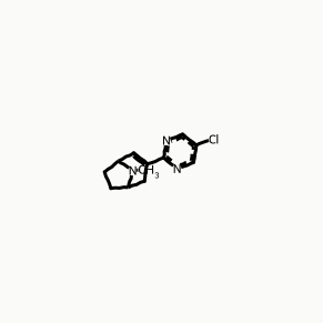 CN1C2C=C(c3ncc(Cl)cn3)CC1CC2